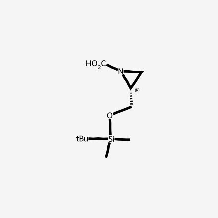 CC(C)(C)[Si](C)(C)OC[C@H]1CN1C(=O)O